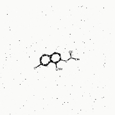 COc1c(OB(O)O)ccc2ccc(Cl)cc12